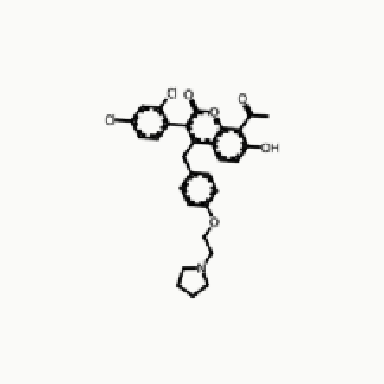 CC(=O)c1c(O)ccc2c(Cc3ccc(OCCN4CCCC4)cc3)c(-c3ccc(Cl)cc3Cl)c(=O)oc12